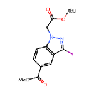 COC(=O)c1ccc2c(c1)c(I)nn2CC(=O)OC(C)(C)C